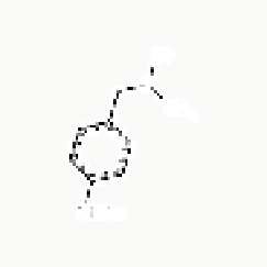 C[CH]N(C)Cc1ccc(NC(C)=O)cc1